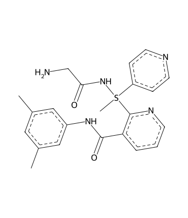 Cc1cc(C)cc(NC(=O)c2cccnc2S(C)(NC(=O)CN)c2ccncc2)c1